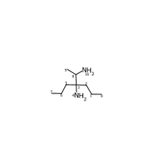 CCCC(N)(CCC)C(C)N